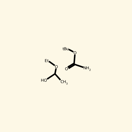 CC(C)(C)OC(N)=O.CCOC(C)O